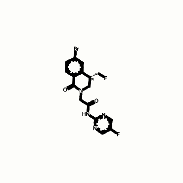 O=C(CN1C[C@@H](CF)c2cc(Br)ccc2C1=O)Nc1ncc(F)cn1